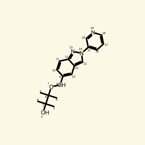 CC(C)(O)C(C)(C)OBc1ccc2nn(-c3cccnc3)cc2c1